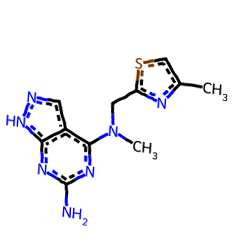 Cc1csc(CN(C)c2nc(N)nc3[nH]ncc23)n1